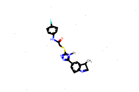 CCn1c(SCC(=O)Nc2ccc(F)cc2)nnc1-c1ccc2c(c1)C(C)C=N2